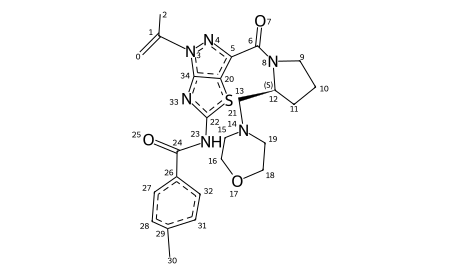 C=C(C)n1nc(C(=O)N2CCC[C@H]2CN2CCOCC2)c2sc(NC(=O)c3ccc(C)cc3)nc21